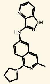 Cc1cc2cc(Nc3n[nH]c4cccnc34)ccc2c(N2CCCC2)n1